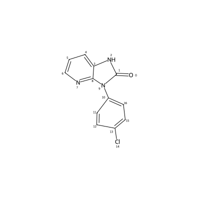 O=c1[nH]c2cccnc2n1-c1ccc(Cl)cc1